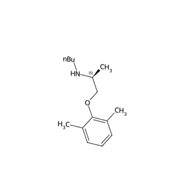 CCCCN[C@@H](C)COc1c(C)cccc1C